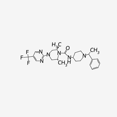 CC(c1ccccc1)N1CCC(NC(=O)N2[C@H](C)CN(c3ncc(C(F)(F)F)cn3)C[C@@H]2C)CC1